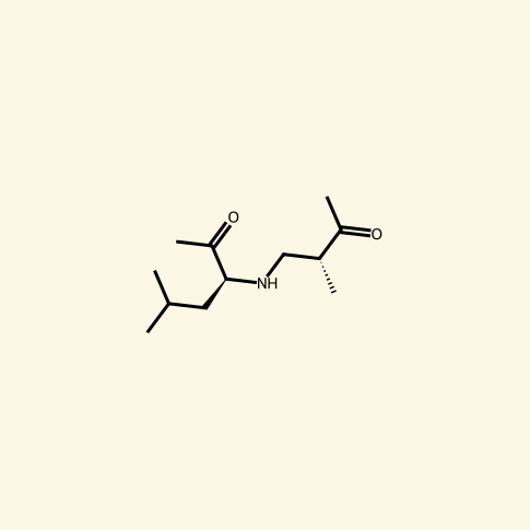 CC(=O)[C@H](C)CN[C@@H](CC(C)C)C(C)=O